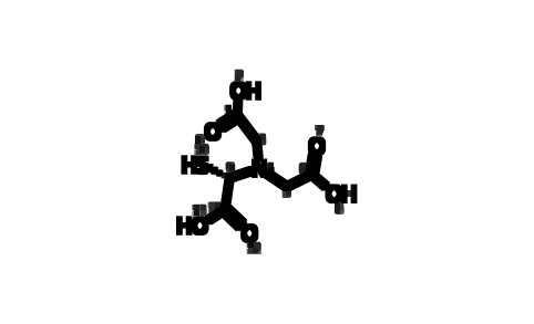 O=C(O)CN(CC(=O)O)[C@@H](S)C(=O)O